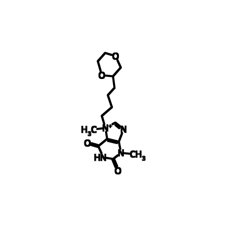 Cn1c2c(c(=O)[nH]c1=O)[N+](C)(CCCCC1COCCO1)C=N2